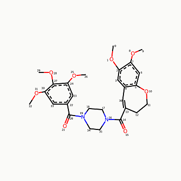 COc1cc2c(cc1OC)OCCC(C(=O)N1CCN(C(=O)c3cc(OC)c(OC)c(OC)c3)CC1)=C2